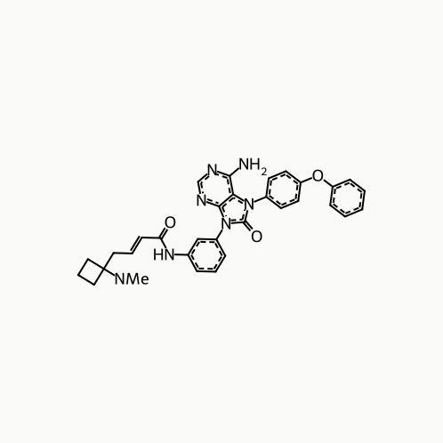 CNC1(C/C=C/C(=O)Nc2cccc(-n3c(=O)n(-c4ccc(Oc5ccccc5)cc4)c4c(N)ncnc43)c2)CCC1